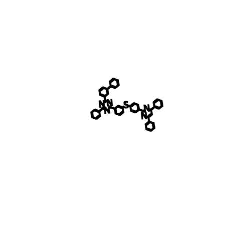 c1ccc(-c2cccc(-c3nc(-c4ccccc4)nc(-c4cccc(Sc5ccc(-c6nc(-c7ccccc7)cc(-c7ccccc7)n6)cc5)c4)n3)c2)cc1